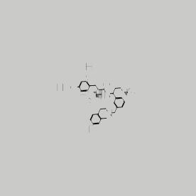 CC(=O)N1CCC(NC(=O)C(N)Cc2c(C)cc(C)cc2C)c2cc(CN3CCc4ccc(F)cc4C3)ccc21